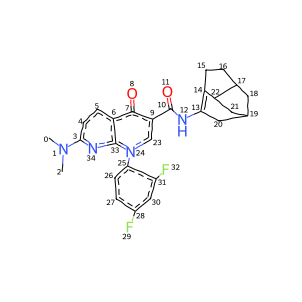 CN(C)c1ccc2c(=O)c(C(=O)NC3=C4CCC5CC(C3)CC45)cn(-c3ccc(F)cc3F)c2n1